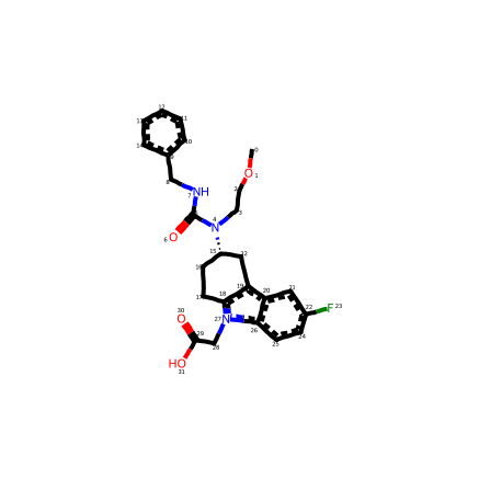 COCCN(C(=O)NCc1ccccc1)[C@H]1CCc2c(c3cc(F)ccc3n2CC(=O)O)C1